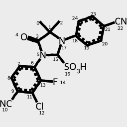 CC1(C)C(=O)N(c2ccc(C#N)c(Cl)c2F)C(S(=O)(=O)O)N1c1ccc(C#N)cc1